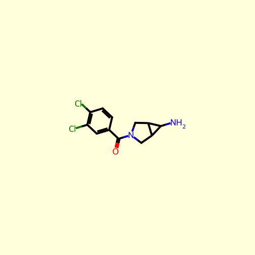 NC1C2CN(C(=O)c3ccc(Cl)c(Cl)c3)CC12